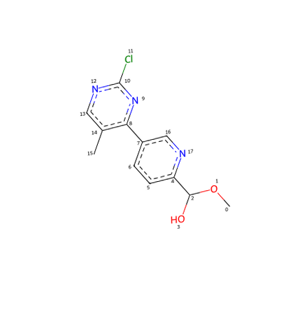 COC(O)c1ccc(-c2nc(Cl)ncc2C)cn1